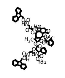 CC(=O)O[C@@]12COC1C[C@H](O)C1(C)C(=O)[C@H](OCC(=O)CNC(=O)OCC3c4ccccc4-c4ccccc43)C3=C(C)[C@@H](OC(=O)[C@H](OC(=O)CNC(=O)OCC4c5ccccc5-c5ccccc54)[C@@H](NC(=O)OC(C)(C)C)c4ccccc4)C[C@](O)(C3)[C@@H](OC(=O)c3ccccc3)C12